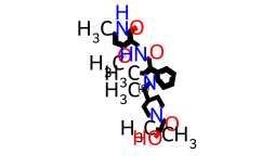 COc1cc(C)[nH]c(=O)c1CNC(=O)c1c(C)n([C@@H](C)C2CCN(C(=O)C(C)(C)O)CC2)c2ccccc12